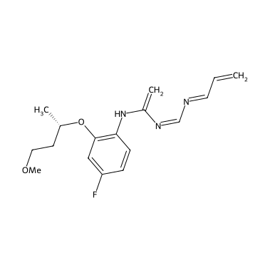 C=C/C=N/C=N\C(=C)Nc1ccc(F)cc1O[C@@H](C)CCOC